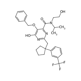 CC(C)N(CCO)C(=O)c1nc(CC2(c3cccc(C(F)(F)F)c3)CCCC2)nc(O)c1OCc1ccccc1